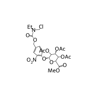 CCN(CCl)C(=O)OCc1ccc(O[C@@H]2OC(C(=O)OC)C(OC(C)=O)[C@H](OC(C)=O)C2OC(C)=O)c([N+](=O)[O-])c1